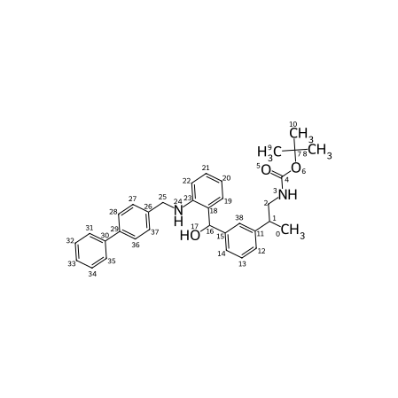 CC(CNC(=O)OC(C)(C)C)c1cccc(C(O)c2ccccc2NCc2ccc(-c3ccccc3)cc2)c1